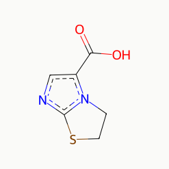 O=C(O)c1cnc2n1CCS2